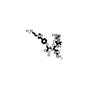 CC1(C)[C@H](NC(=O)/C(=N\OC(COc2ccc(-c3cn(CCCN)cn3)cc2)C(=O)O)c2csc(N)n2)C(=O)N1OS(=O)(=O)O